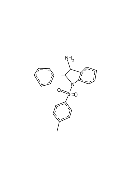 Cc1ccc(S(=O)(=O)N2c3ccccc3C(N)C2c2ccccc2)cc1